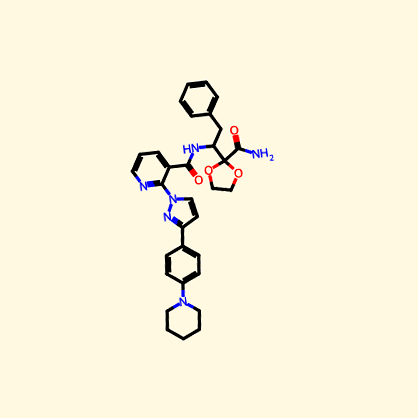 NC(=O)C1(C(Cc2ccccc2)NC(=O)c2cccnc2-n2ccc(-c3ccc(N4CCCCC4)cc3)n2)OCCO1